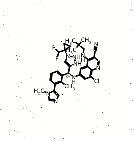 Cc1c(-c2cncn2C)cccc1[C@H](Nc1cc(Cl)c2ncc(C#N)c(NCC(C)(C)C)c2c1)C1=CN(C2(C(F)F)CC2)NN1